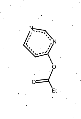 CCC(=O)Oc1ccncn1